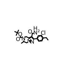 CCc1ccc(-c2nn3c(c2C(N)=O)CN(C(=O)OC(C)(C)C)C(C)C3)cc1Cl